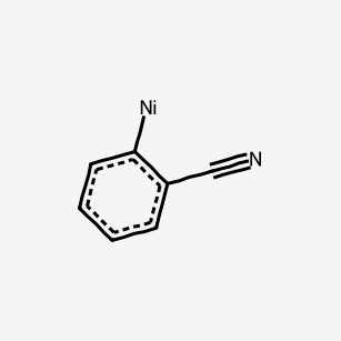 N#Cc1cccc[c]1[Ni]